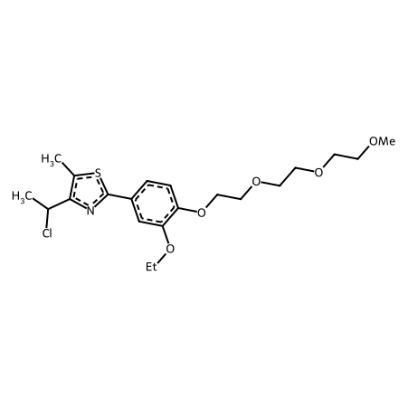 CCOc1cc(-c2nc(C(C)Cl)c(C)s2)ccc1OCCOCCOCCOC